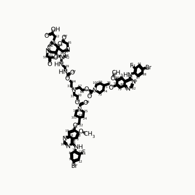 COc1cc2c(Nc3ccc(Br)cc3F)ncnc2cc1OCC1CCN(C(=O)OCCN(CCOC(=O)NCNN2CCN3CC(=O)OC4(CN(CC(=O)O)CCN5CC(=O)O[C@]4(C5)C2)C3)CCOC(=O)N2CCC(COc3cc4ncnc(Nc5ccc(Br)cc5F)c4cc3OC)CC2)CC1